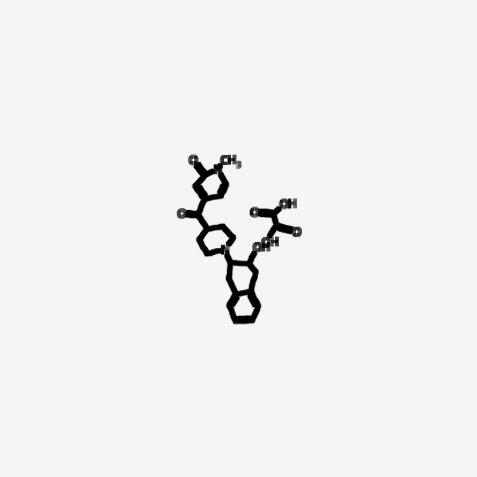 Cn1ccc(C(=O)C2CCN(C3Cc4ccccc4CC3O)CC2)cc1=O.O=C(O)C(=O)O